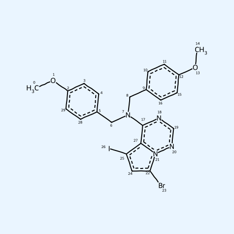 COc1ccc(CN(Cc2ccc(OC)cc2)c2ncnn3c(Br)cc(I)c23)cc1